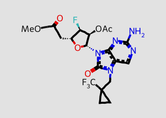 COC(=O)C[C@H]1O[C@@H](n2c(=O)n(CC3(C(F)(F)F)CC3)c3cnc(N)nc32)[C@H](OC(C)=O)[C@@H]1F